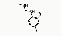 [2H]c1cc(C)ccc1BCBC